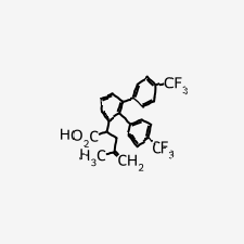 C=C(C)CC(C(=O)O)c1cccc(-c2ccc(C(F)(F)F)cc2)c1-c1ccc(C(F)(F)F)cc1